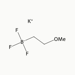 COCC[B-](F)(F)F.[K+]